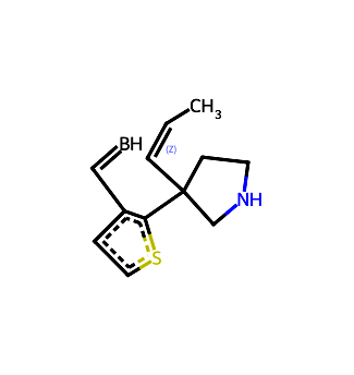 B=Cc1ccsc1C1(/C=C\C)CCNC1